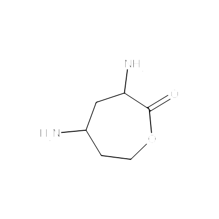 NC1CCOC(=O)C(N)C1